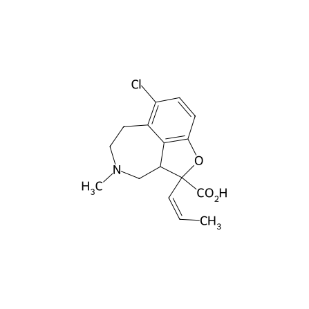 C/C=C\C1(C(=O)O)Oc2ccc(Cl)c3c2C1CN(C)CC3